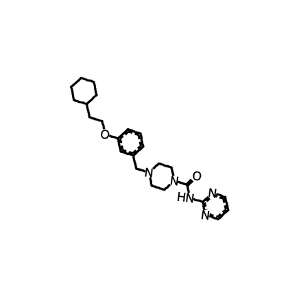 O=C(Nc1ncccn1)N1CCN(Cc2cccc(OCCC3CCCCC3)c2)CC1